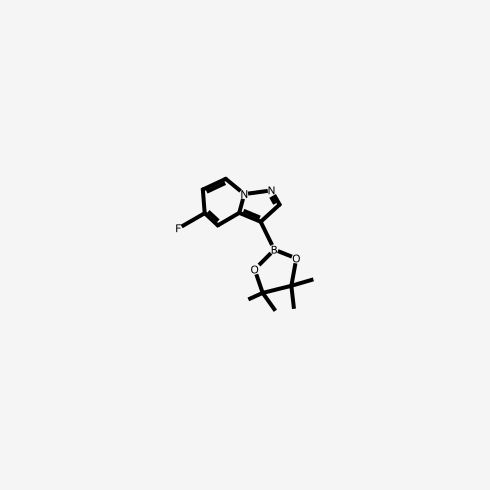 CC1(C)OB(c2cnn3ccc(F)cc23)OC1(C)C